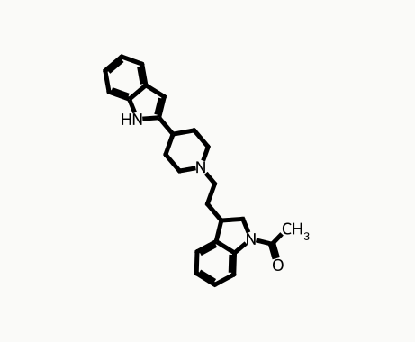 CC(=O)N1CC(CCN2CCC(c3cc4ccccc4[nH]3)CC2)c2ccccc21